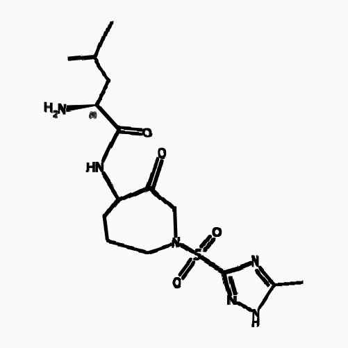 Cc1nc(S(=O)(=O)N2CCCC(NC(=O)[C@@H](N)CC(C)C)C(=O)C2)n[nH]1